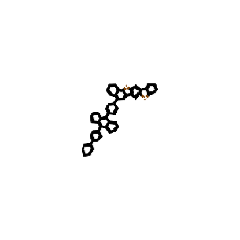 c1ccc(-c2ccc(-c3c4ccccc4c(-c4ccc(-c5cc6c7cc8sc9ccccc9c8cc7sc6c6ccccc56)cc4)c4ccccc34)cc2)cc1